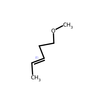 C/C=C/CCOC